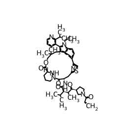 C=CC(=O)N1CC[C@H](C(=O)C(C)[C@H](C(=O)N[C@H]2Cc3nc(cs3)-c3ccc4c(c3)c(c(-c3cccnc3C(C)C)n4CC)CC(C)(C)COC(=O)[C@@H]3CCCN(N3)C2=O)C(C)C)C1